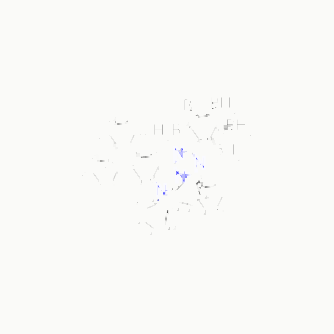 Bc1c(B)c(B)c(-c2nc(-c3ccccc3)nc(-c3cc4c5ccccc5c5ccccc5c4cc3-n3c4ccccc4c4ccccc43)n2)c(B)c1B